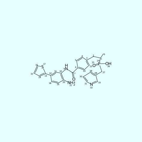 CC(Cc1ccc(C(=O)Nc2cc(-c3cccs3)ccc2N)cc1)P(=O)(O)Cc1cccnc1